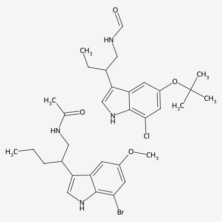 CCC(CNC=O)c1c[nH]c2c(Cl)cc(OC(C)(C)C)cc12.CCCC(CNC(C)=O)c1c[nH]c2c(Br)cc(OC)cc12